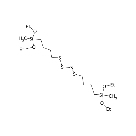 CCO[Si](C)(CCCCSSSSCCCC[Si](C)(OCC)OCC)OCC